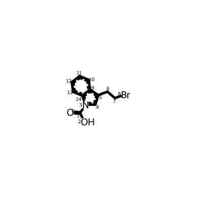 O=C(O)n1cc(CCBr)c2ccccc21